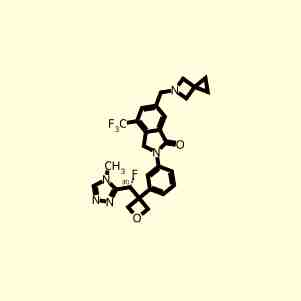 Cn1cnnc1[C@H](F)C1(c2cccc(N3Cc4c(cc(CN5CC6(CC6)C5)cc4C(F)(F)F)C3=O)c2)COC1